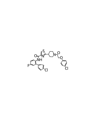 O=C(Nc1ccc(F)cc1-c1ccc(Cl)cc1)c1csc(C2CCN(C(=O)COc3ccc(Cl)cc3)CC2)n1